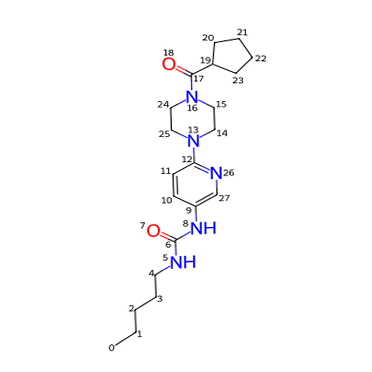 CCCCCNC(=O)Nc1ccc(N2CCN(C(=O)C3CCCC3)CC2)nc1